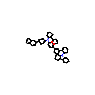 c1ccc(-c2ccccc2N(c2ccc(-c3cccc(-c4ccccc4-n4c5ccccc5c5ccccc54)c3)cc2)c2ccc(-c3ccc4ccccc4c3)cc2)cc1